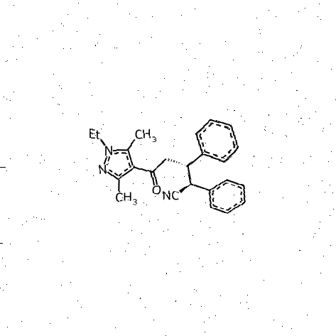 CCn1nc(C)c(C(=O)C[C@H](c2ccccc2)[C@H](C#N)c2ccccc2)c1C